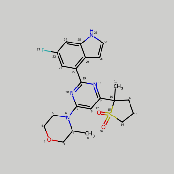 CC1COCCN1c1cc(C2(C)CCCS2(=O)=O)nc(-c2cc(F)cc3[nH]ccc23)n1